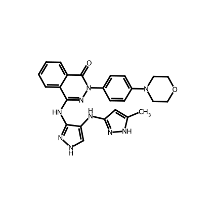 Cc1cc(Nc2c[nH]nc2Nc2nn(-c3ccc(N4CCOCC4)cc3)c(=O)c3ccccc23)n[nH]1